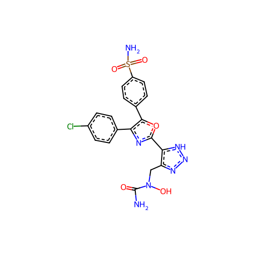 NC(=O)N(O)Cc1nn[nH]c1-c1nc(-c2ccc(Cl)cc2)c(-c2ccc(S(N)(=O)=O)cc2)o1